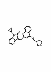 O=c1n(Cc2nc(OCC3CCOC3)c3ccccc3n2)c2ncccc2n1C1CC1